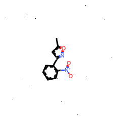 Cc1cc(-c2ccc[c]c2[N+](=O)[O-])no1